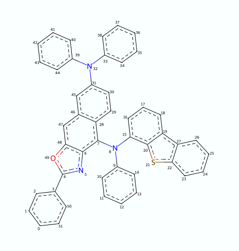 c1ccc(-c2nc3c(N(c4ccccc4)c4cccc5c4sc4ccccc45)c4ccc(N(c5ccccc5)c5ccccc5)cc4cc3o2)cc1